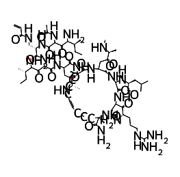 C=CC(=O)NC[C@H](NC(=O)C(NC(C)=O)C(=O)C(N)[C@@H](C)CC)C(=O)NC(C(=O)NC(CC(=O)[C@H](C)NC)C(=O)N[C@@]1(C)CCC/C=C\CCC[C@@](C)(C(N)=O)NC(=O)C(C(=O)[C@@H](N)CCCNC(N)N)NC(=O)C(N[C@H](C=O)CC(C)C)NC(=O)C(CC(=O)[C@H](C)NC)NC1=O)C(=O)C(N)[C@@H](C)CC